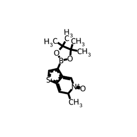 CC1C=c2scc(B3OC(C)(C)C(C)(C)O3)c2=C[N+]1=O